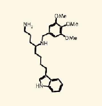 COc1cc(CNC(CCCN)CCCCc2c[nH]c3ccccc23)cc(OC)c1OC